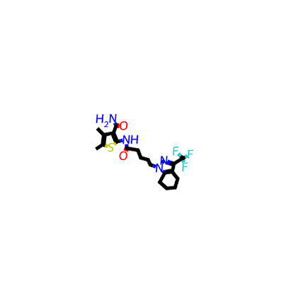 Cc1sc(NC(=O)CCCCn2nc(C(F)(F)F)c3c2CCCC3)c(C(N)=O)c1C